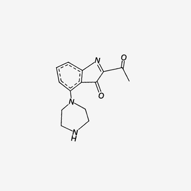 CC(=O)C1=Nc2cccc(N3CCNCC3)c2C1=O